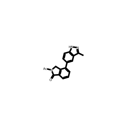 CC(=O)N1Cc2c(cccc2-c2ccc3[nH]nc(C)c3c2)C1=O